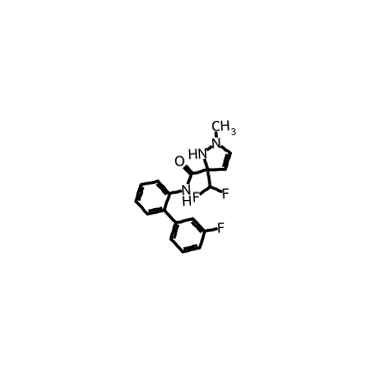 CN1C=CC(C(=O)Nc2ccccc2-c2cccc(F)c2)(C(F)F)N1